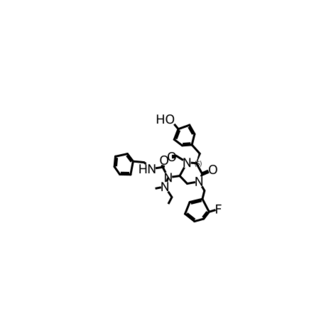 CCN(C)N(C(=O)NCc1ccccc1)C1CN(Cc2ccccc2F)C(=O)[C@H](Cc2ccc(O)cc2)N1C=O